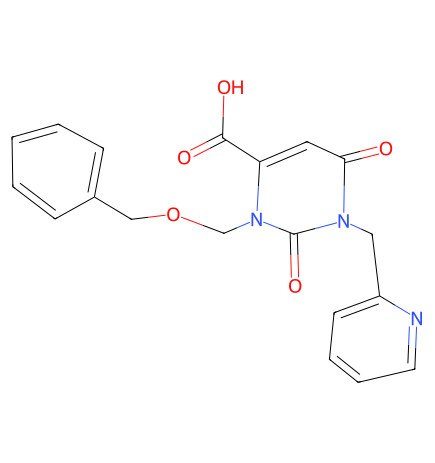 O=C(O)c1cc(=O)n(Cc2ccccn2)c(=O)n1COCc1ccccc1